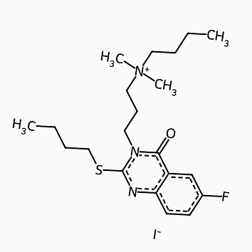 CCCCSc1nc2ccc(F)cc2c(=O)n1CCC[N+](C)(C)CCCC.[I-]